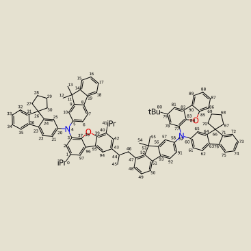 CC(C)c1cc(N(c2ccc3c(c2)C(C)(C)c2ccccc2-3)c2ccc3c(c2)C2(CCCC2)c2ccccc2-3)c2oc3c(C(C)C)cc(C(C)Cc4cccc5c4C(C)(C)c4cc(N(c6ccc7c(c6)C6(CCCC6)c6ccccc6-7)c6cc(C(C)(C)C)cc7c6oc6ccccc67)ccc4-5)cc3c2c1